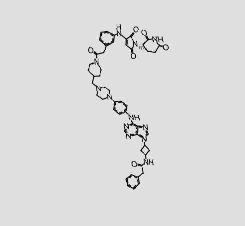 O=C1CC[C@H](N2C(=O)C=C(Nc3cccc(CC(=O)N4CCC(CN5CCN(c6ccc(Nc7ncnc8c7ncn8C7CC(NC(=O)Cc8ccccc8)C7)cc6)CC5)CC4)c3)C2=O)C(=O)N1